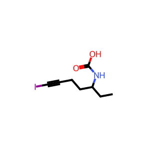 CCC(CCC#CI)NC(=O)O